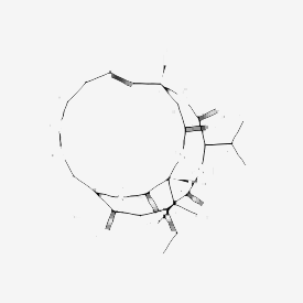 C/C=C1\CC(=O)[C@H]2CSSCC/C=C/[C@@H](CC(=O)N[C@H](C(C)C)C(=O)N2)OC(=O)C(C(C)C)NC1=O